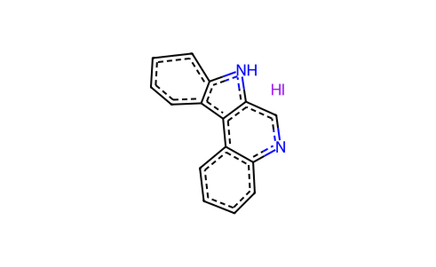 I.c1ccc2c(c1)ncc1[nH]c3ccccc3c12